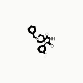 O=C1NC(=O)C2(CCN(Cc3ccccc3)CC2)N1c1cccc(F)c1